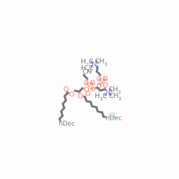 CCCCCCCCCCCCCCCCCC(=O)OCC(COP(=O)(OCCC#N)OCCC(OP(=O)([O-])OCCC[N+](C)(C)C)[N+](C)(C)C)OC(=O)CCCCCCCCCCCCCCCCC.[Cl-]